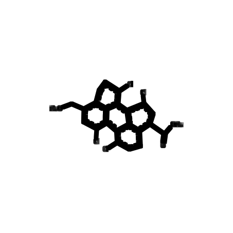 CC(C)COCc1cc(Cl)c2c3c(Cl)ccc4c(C(=O)OCC(C)C)cc(Cl)c(c5c(Cl)ccc1c25)c43